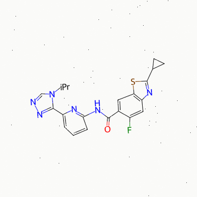 CC(C)n1cnnc1-c1cccc(NC(=O)c2cc3sc(C4CC4)nc3cc2F)n1